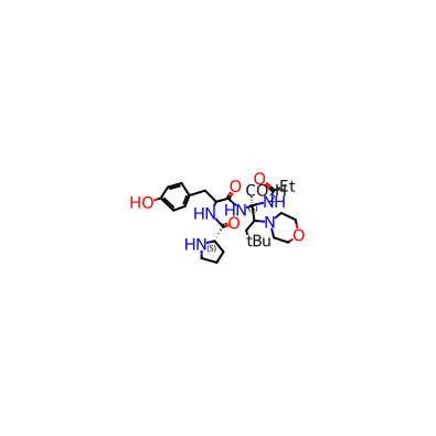 CCC(=O)N[C@@](NC(=O)C(Cc1ccc(O)cc1)NC(=O)[C@@H]1CCCN1)(C(=O)O)C(CC(C)(C)C)N1CCOCC1